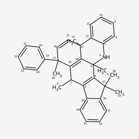 CC1C2=C(C3(C)Nc4ccccc4C4(C)C=CC(C)(c5ccccc5)C1=C34)C(C)(C)c1ccccc12